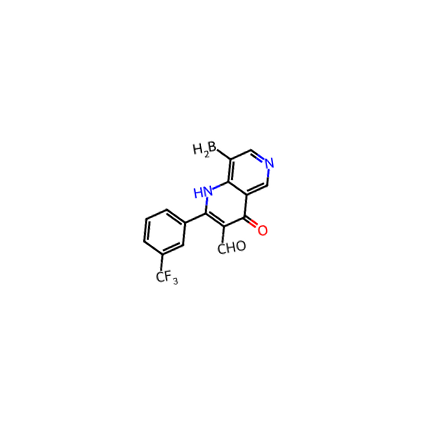 Bc1cncc2c(=O)c(C=O)c(-c3cccc(C(F)(F)F)c3)[nH]c12